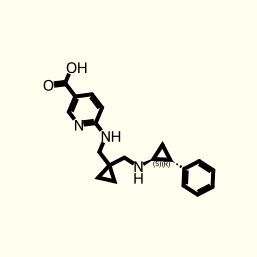 O=C(O)c1ccc(NCC2(CN[C@H]3C[C@@H]3c3ccccc3)CC2)nc1